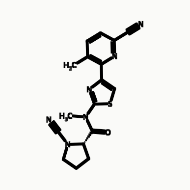 Cc1ccc(C#N)nc1-c1csc(N(C)C(=O)[C@@H]2CCCN2C#N)n1